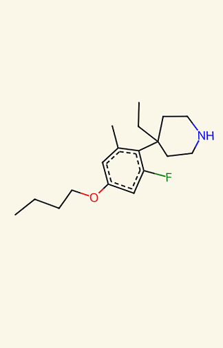 CCCCOc1cc(C)c(C2(CC)CCNCC2)c(F)c1